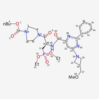 CCCCOC(=O)N1CCN(C(=O)[C@H](CP(=O)(OCC)OCC)NC(=O)c2cc(N3CC(COC)C3)nc(-c3ccccc3)n2)CC1